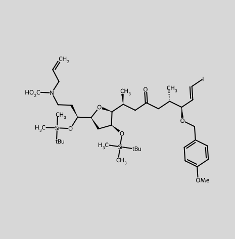 C=CCN(CC[C@H](O[Si](C)(C)C(C)(C)C)[C@@H]1C[C@H](O[Si](C)(C)C(C)(C)C)[C@H]([C@@H](C)CC(=O)C[C@H](C)[C@@H](/C=C/I)OCc2ccc(OC)cc2)O1)C(=O)O